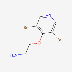 NCCOc1c(Br)cncc1Br